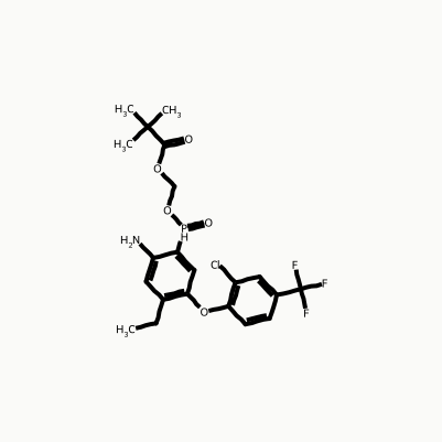 CCc1cc(N)c([PH](=O)OCOC(=O)C(C)(C)C)cc1Oc1ccc(C(F)(F)F)cc1Cl